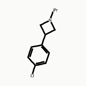 CC(C)N1CC(c2ccc(Cl)cc2)C1